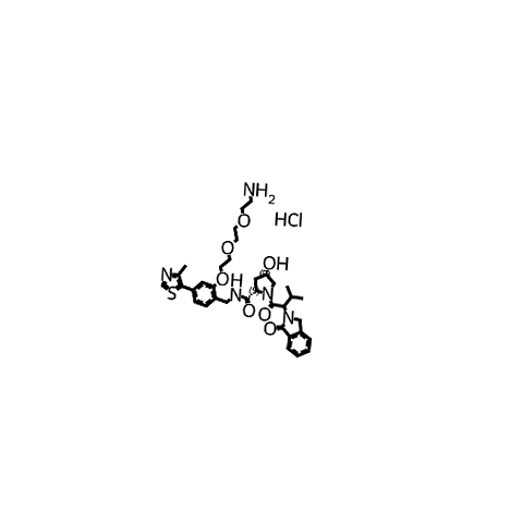 Cc1ncsc1-c1ccc(CNC(=O)[C@@H]2C[C@@H](O)CN2C(=O)C(C(C)C)N2Cc3ccccc3C2=O)c(OCCOCCOCCN)c1.Cl